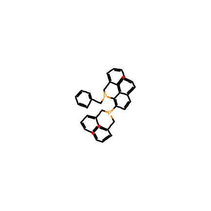 c1ccc(CP(Cc2ccccc2)c2ccc3ccccc3c2P(Cc2ccccc2)Cc2ccccc2)cc1